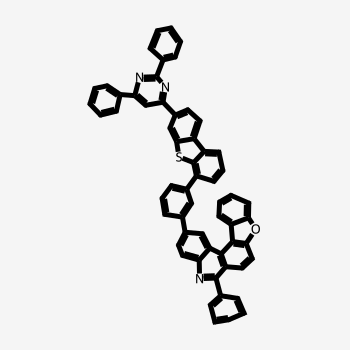 c1ccc(-c2cc(-c3ccc4c(c3)sc3c(-c5cccc(-c6ccc7nc(-c8ccccc8)c8ccc9oc%10ccccc%10c9c8c7c6)c5)cccc34)nc(-c3ccccc3)n2)cc1